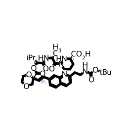 CC(C)[C@H](OC(=O)[C@@]1(/C=C/c2ccc3ccc(CCNC(=O)OC(C)(C)C)nc3c2)COCCO1)C(=O)N[C@@H](C)C(=O)N1CCC[C@@H](C(=O)O)N1